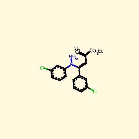 C=C(/C=C(/c1cccc(Cl)c1)N(N)c1cccc(Cl)c1)C(=O)OCC